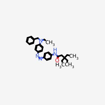 CCN(Cc1ccccc1)c1ccc(/N=N\c2ccc(NC(=O)CC(CC)(CC)CC)cc2)cc1